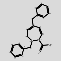 O=C(O)N1C=CC(Cc2ccccc2)=CCN1Cc1ccccc1